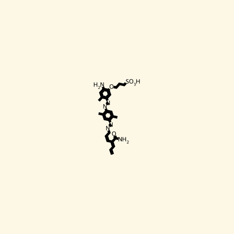 C=C/C=C(\C=C/CN=Nc1cc(C)c(N=Nc2cc(OCCCS(=O)(=O)O)c(N)cc2C)cc1C)C(N)=O